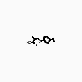 CC(=O)c1ccc(OCC(C)C(=O)O)cc1